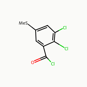 CSc1cc(Cl)c(Cl)c(C(=O)Cl)c1